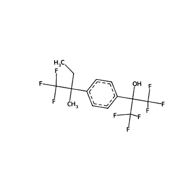 CCC(C)(c1ccc(C(O)(C(F)(F)F)C(F)(F)F)cc1)C(F)(F)F